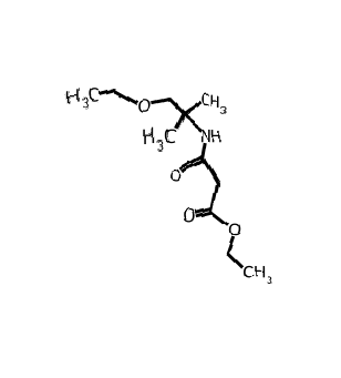 CCOCC(C)(C)NC(=O)CC(=O)OCC